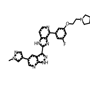 Cn1cc(-c2cnc3[nH]nc(-c4nc5c(-c6cc(F)cc(OCCN7CCCC7)c6)nccc5[nH]4)c3c2)cn1